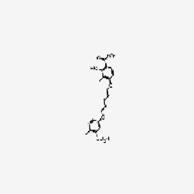 CCCC(=O)c1ccc(OCCCCCOc2cnc(C)c(C(=O)O)c2)c(C)c1O